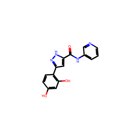 O=C(Nc1cccnc1)c1cc(-c2ccc(O)cc2O)n[nH]1